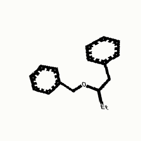 CCC(Cc1ccccc1)OCc1ccccc1